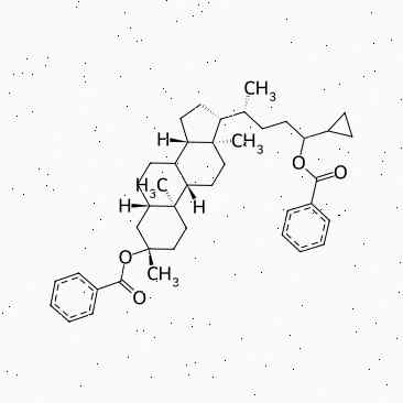 C[C@H](CCC(OC(=O)c1ccccc1)C1CC1)[C@H]1CC[C@H]2C3CC[C@H]4C[C@@](C)(OC(=O)c5ccccc5)CC[C@]4(C)[C@H]3CC[C@]12C